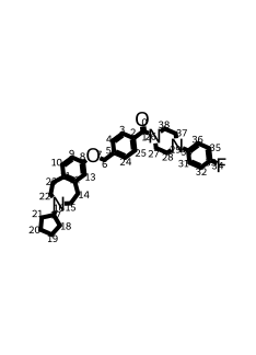 O=C(c1ccc(COc2ccc3c(c2)CCN(C2CCCC2)CC3)cc1)N1CCN(c2ccc(F)cc2)CC1